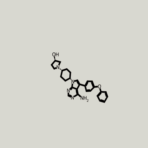 Nc1ncnc2c1c(-c1ccc(Oc3ccccc3)cc1)cn2[C@H]1CC[C@@H](N2CC[C@@H](O)C2)CC1